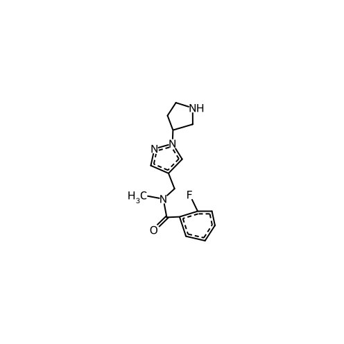 CN(Cc1cnn(C2CCNC2)c1)C(=O)c1ccccc1F